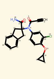 C#CC(=O)N(c1ccc(OC2CC2)c(Cl)c1)C1(C(N)=O)Cc2ccccc2C1